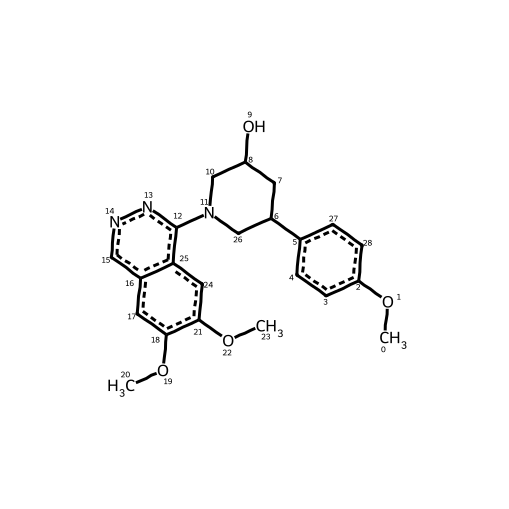 COc1ccc(C2CC(O)CN(c3nncc4cc(OC)c(OC)cc34)C2)cc1